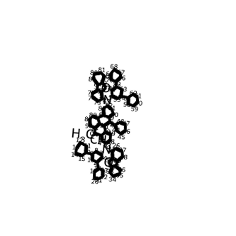 CC1(C)c2cc(N(c3cc(-c4ccccc4)cc(-c4ccccc4)c3)c3cccc4c3oc3ccccc34)ccc2-c2c(-c3ccccc3)c3ccc(N(c4cc(-c5ccccc5)cc(-c5ccccc5)c4)c4cccc5c4oc4ccccc45)cc3c3cccc1c23